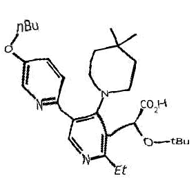 CCCCOc1ccc(-c2cnc(CC)c([C@H](OC(C)(C)C)C(=O)O)c2N2CCC(C)(C)CC2)nc1